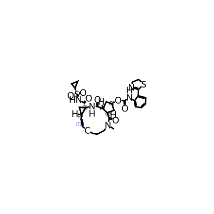 CN1CCCC/C=C\[C@@H]2C[C@@]2(C(=O)NS(=O)(=O)C2CC2)NC(=O)[C@@H]2C[C@@H](OC(=O)Nc3ccccc3C3=NCCS3)C[C@H]2C1=O